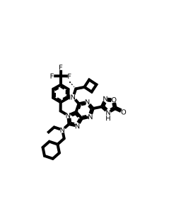 CCN(CC1CCCCC1)c1nc2nc(-c3noc(=O)[nH]3)nc(N[C@H](C)C3CCC3)c2n1Cc1ccc(C(F)(F)F)cc1